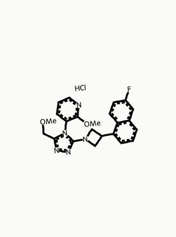 COCc1nnc(N2CC(c3cccc4cc(F)ccc34)C2)n1-c1cccnc1OC.Cl